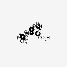 Cc1cc(NC(=O)n2ccc3cc(Oc4cc(CN5CCCC(C(=O)O)C5)ncn4)ccc32)cc(C(F)(F)F)c1F